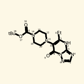 CCc1[nH]c2ncnn2c(=O)c1N1CCN(C(=O)OC(C)(C)C)CC1